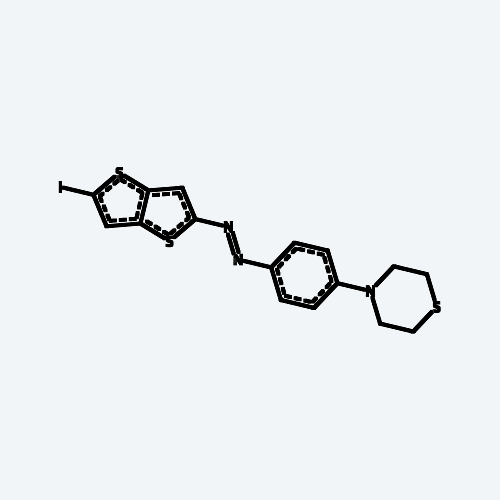 Ic1cc2sc(N=Nc3ccc(N4CCSCC4)cc3)cc2s1